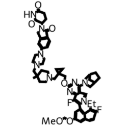 CCc1c(F)ccc2cc(OCOC)cc(-c3ncc4c(N5CC6CCC(C6)C5)nc(OCC5(CN6CCC(C)(CN7CCN(c8ccc9c(c8)CN([C@@H]8CCC(=O)NC8=O)C9=O)CC7)CC6)CC5)nc4c3F)c12